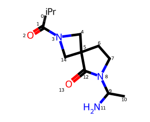 CC(C)C(=O)N1CC2(CCN(C(C)N)C2=O)C1